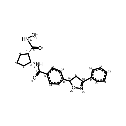 O=C(N[C@@H]1CCC[C@@H]1C(=O)NO)c1ccc(C2CC(c3ccccc3)=NO2)cc1